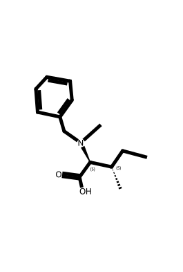 CC[C@H](C)[C@@H](C(=O)O)N(C)Cc1ccccc1